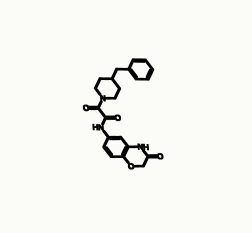 O=C1COc2ccc(NC(=O)C(=O)N3CCC(Cc4ccccc4)CC3)cc2N1